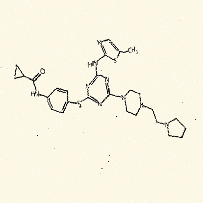 Cc1cnc(Nc2nc(Sc3ccc(NC(=O)C4CC4)cc3)nc(N3CCN(CCN4CCCC4)CC3)n2)s1